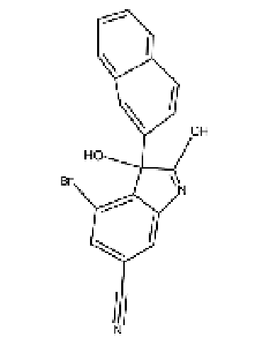 N#Cc1cc(Br)c2c(c1)N=C(O)C2(O)c1ccc2ccccc2c1